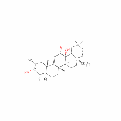 CCOC(=O)[C@]12CCC(C)(C)CC1[C@@]1(O)C(=O)C=C3[C@@]4(C)CC(C#N)=C(O)[C@@H](C)[C@@H]4CC[C@@]3(C)[C@]1(C)CC2